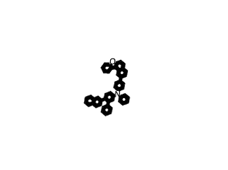 c1ccc(-c2cc(N(c3ccccc3)c3ccc(-c4ccc5ccc6oc7ccccc7c6c5c4)cc3)ccc2-c2ccc3ccccc3c2)cc1